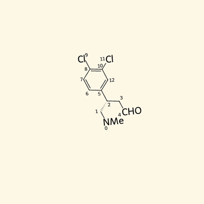 CNC[C@@H](CC=O)c1ccc(Cl)c(Cl)c1